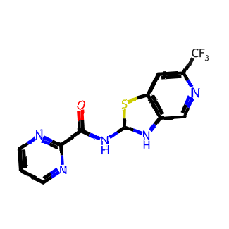 O=C(NC1Nc2cnc(C(F)(F)F)cc2S1)c1ncccn1